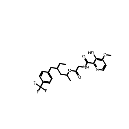 CCC(Cc1ccc(C(F)(F)F)cc1)CC(C)OC(=O)CNC(=O)c1nccc(OC)c1O